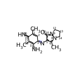 CC1=C/C(=N\c2c(C)n3n(c2=O)CCC3)C(N)=C(C)C1=N